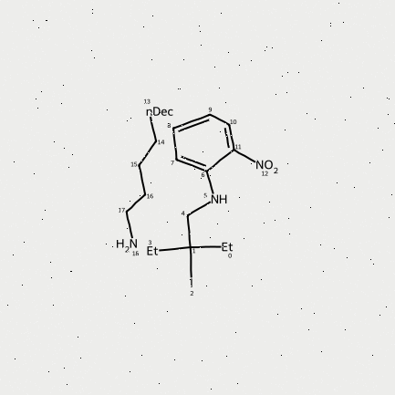 CCC(I)(CC)CNc1ccccc1[N+](=O)[O-].CCCCCCCCCCCCCCN